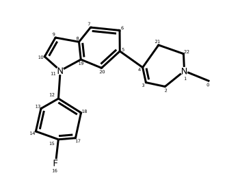 CN1CC=C(c2ccc3ccn(-c4ccc(F)cc4)c3c2)CC1